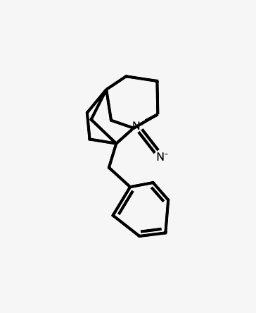 [N-]=[N+]1C2CCC3(CC2)CCC1(Cc1ccccc1)C3